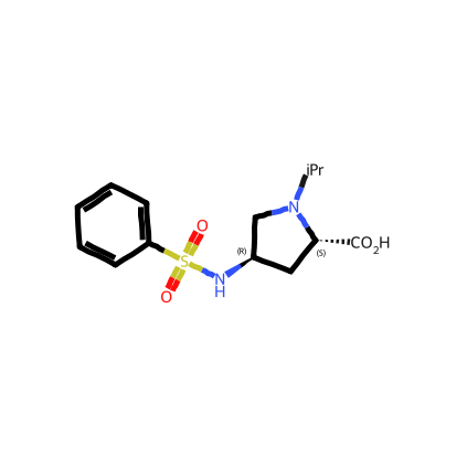 CC(C)N1C[C@H](NS(=O)(=O)c2ccccc2)C[C@H]1C(=O)O